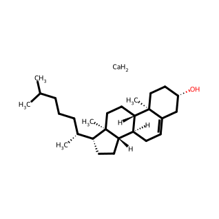 CC(C)CCC[C@@H](C)[C@H]1CC[C@H]2[C@@H]3CC=C4C[C@@H](O)CC[C@]4(C)[C@H]3CC[C@]12C.[CaH2]